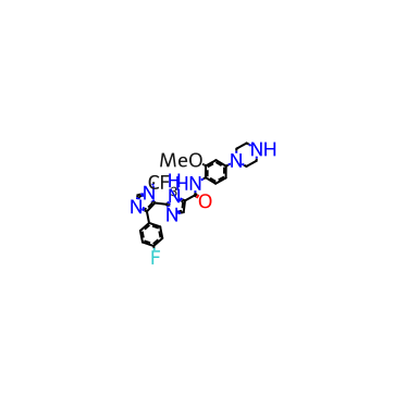 COc1cc(N2CCNCC2)ccc1NC(=O)c1cnc(-c2c(-c3ccc(F)cc3)ncn2C(F)(F)F)[nH]1